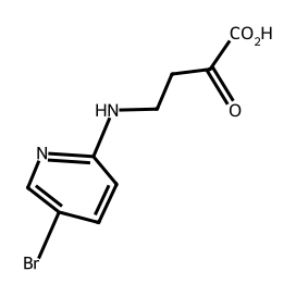 O=C(O)C(=O)CCNc1ccc(Br)cn1